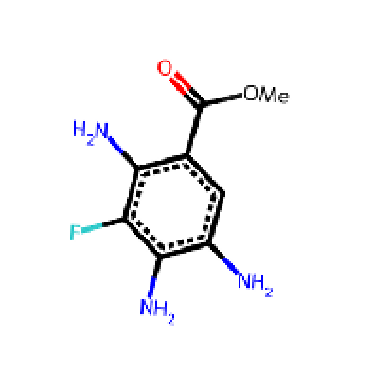 COC(=O)c1cc(N)c(N)c(F)c1N